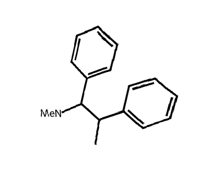 CNC(c1ccccc1)C(C)c1ccccc1